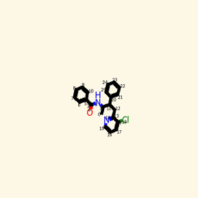 CC(NC(=O)c1ccccc1)C(Cc1ncccc1Cl)c1ccccc1